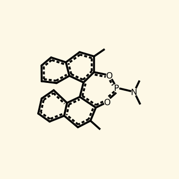 Cc1cc2ccccc2c2c1op(N(C)C)oc1c(C)cc3ccccc3c12